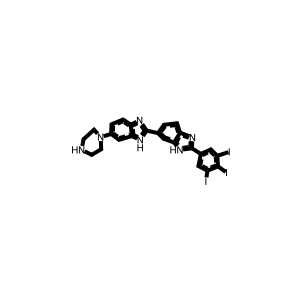 Ic1cc(-c2nc3ccc(-c4nc5ccc(N6CCNCC6)cc5[nH]4)cc3[nH]2)cc(I)c1I